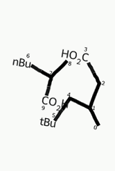 CC(CC(=O)O)CC(C)(C)C.CCCCC(C)C(=O)O